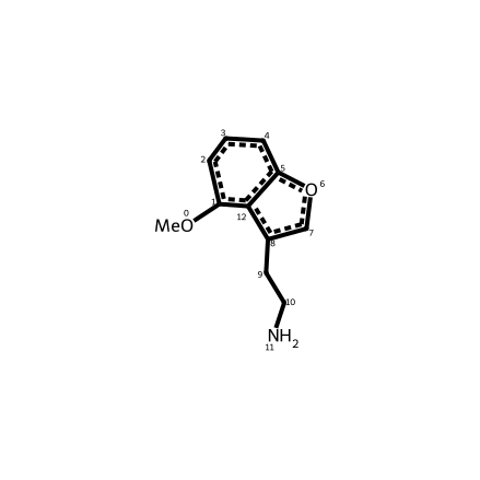 COc1cccc2occ(CCN)c12